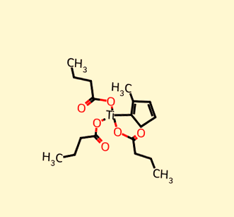 CCCC(=O)[O][Ti]([O]C(=O)CCC)([O]C(=O)CCC)[C]1=C(C)C=CC1